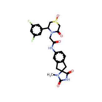 CN1C(=O)NC(=O)C12Cc1ccc(NC(=O)CN3C(=O)C[S+]([O-])CC3c3cc(F)cc(F)c3)cc1C2